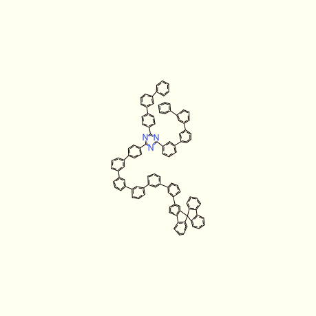 c1ccc(-c2cccc(-c3ccc(-c4nc(-c5ccc(-c6cccc(-c7cccc(-c8cccc(-c9cccc(-c%10cccc(-c%11ccc%12c(c%11)C%11(c%13ccccc%13-c%13ccccc%13%11)c%11ccccc%11-%12)c%10)c9)c8)c7)c6)cc5)nc(-c5cccc(-c6cccc(-c7cccc(-c8ccccc8)c7)c6)c5)n4)cc3)c2)cc1